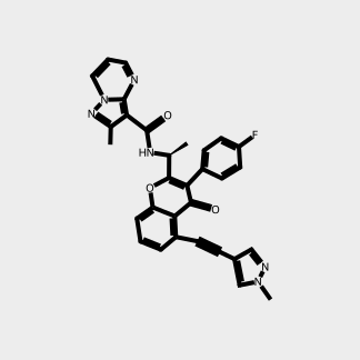 Cc1nn2cccnc2c1C(=O)N[C@@H](C)c1oc2cccc(C#Cc3cnn(C)c3)c2c(=O)c1-c1ccc(F)cc1